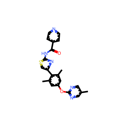 Cc1cnc(Oc2cc(C)c(-c3csc(NC(=O)c4ccncc4)n3)c(C)c2)nc1